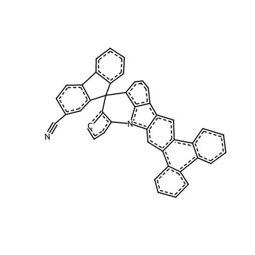 N#Cc1ccc2c(c1)C1(c3ccccc3-2)c2ccccc2-n2c3cc4c5ccccc5c5ccccc5c4cc3c3cccc1c32